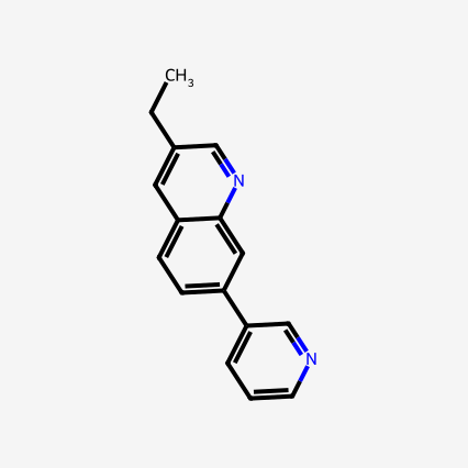 CCc1cnc2cc(-c3cccnc3)ccc2c1